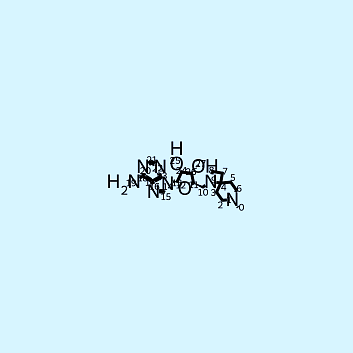 CN1CCC2(CC1)CCN2C[C@H]1O[C@@H](n2cnc3c(N)ncnc32)[C@H](O)[C@@H]1O